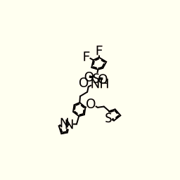 O=C(CCc1ccc(Cn2cccn2)cc1OCCc1cccs1)NS(=O)(=O)c1ccc(F)c(F)c1